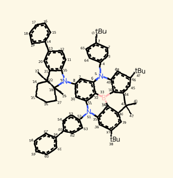 CC(C)(C)c1ccc(N2c3cc(N4c5ccc(-c6ccccc6)cc5C5(C)CCCCC45C)cc4c3B3c5c(cc(C(C)(C)C)cc5C(C)(C)c5cc(C(C)(C)C)cc2c53)N4c2ccc(-c3ccccc3)cc2)cc1